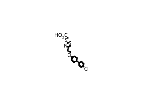 O=C(O)CSc1nc(CCOc2ccc(-c3ccc(Cl)cc3)cc2)cs1